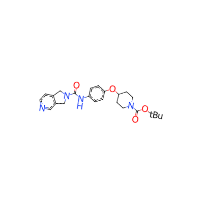 CC(C)(C)OC(=O)N1CCC(Oc2ccc(NC(=O)N3Cc4ccncc4C3)cc2)CC1